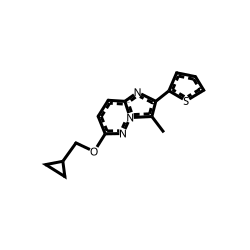 Cc1c(-c2cccs2)nc2ccc(OCC3CC3)nn12